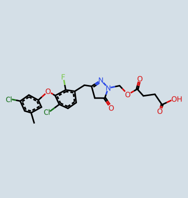 Cc1cc(Cl)cc(Oc2c(Cl)ccc(CC3=NN(COC(=O)CCC(=O)O)C(=O)C3)c2F)c1